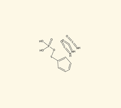 N=C=O.N=C=O.N=C=O.O=P(O)(O)OSc1ccccc1